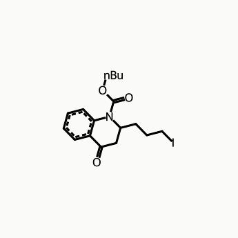 CCCCOC(=O)N1c2ccccc2C(=O)CC1CCCI